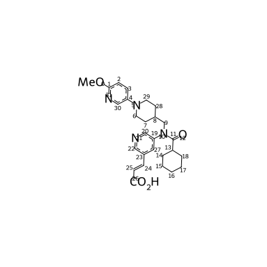 COc1ccc(N2CCC(CN(C(=O)C3CCCCC3)c3cncc(C=CC(=O)O)c3)CC2)cn1